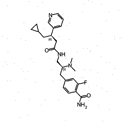 CN(C)[C@H](CNC(=O)C[C@@H](CC1CC1)c1cccnc1)Cc1ccc(C(N)=O)c(F)c1